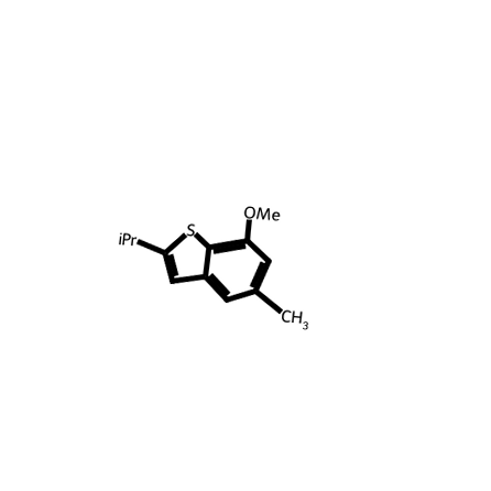 COc1cc(C)cc2cc(C(C)C)sc12